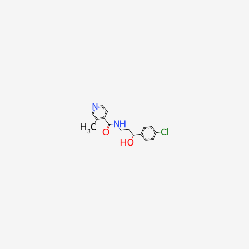 Cc1cnccc1C(=O)NCCC(O)c1ccc(Cl)cc1